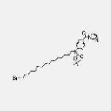 CC(C)(C)OC(=O)N(CCCCCCCCCCCCCCCCBr)c1ccc(C(=O)n2ccnc2)cc1